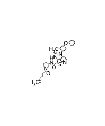 CSCC=CC(=O)N1CCCC(NC(=O)c2sc3nccc4c3c2NC(=O)N4c2ccc(Oc3ccccc3)cc2C)C1